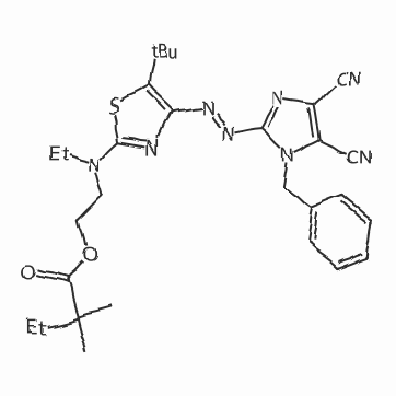 CCN(CCOC(=O)C(C)(C)CC)c1nc(/N=N/c2nc(C#N)c(C#N)n2Cc2ccccc2)c(C(C)(C)C)s1